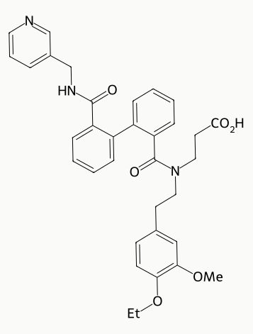 CCOc1ccc(CCN(CCC(=O)O)C(=O)c2ccccc2-c2ccccc2C(=O)NCc2cccnc2)cc1OC